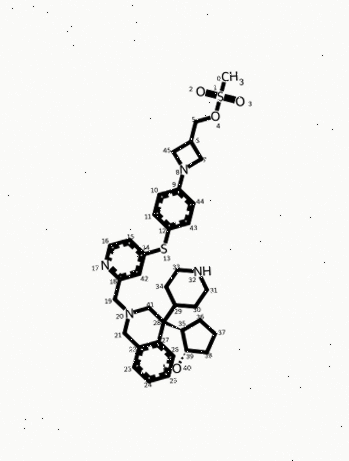 CS(=O)(=O)OCC1CN(c2ccc(Sc3ccnc(CN4Cc5ccccc5C(C5CCNCC5)([C@H]5CCC[C@@H]5O)C4)c3)cc2)C1